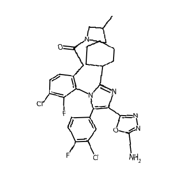 CC1CN(C(=O)Cc2ccc(Cl)c(F)c2-n2c(C3CCCCC3)nc(-c3nnc(N)o3)c2-c2ccc(F)c(Cl)c2)C1